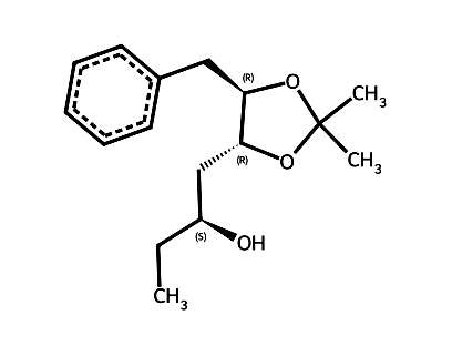 CC[C@H](O)C[C@H]1OC(C)(C)O[C@@H]1Cc1ccccc1